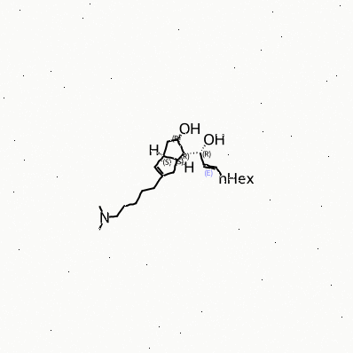 CCCCCC/C=C/[C@@H](O)[C@@H]1[C@H]2CC(CCCCCN(C)C)=C[C@H]2C[C@H]1O